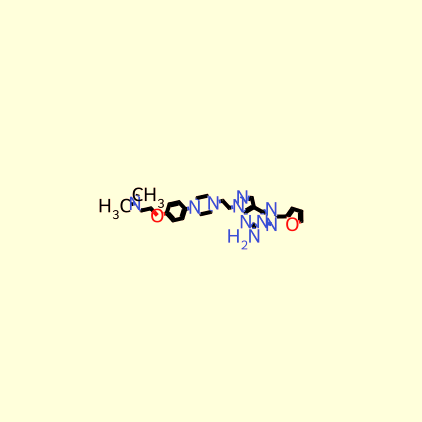 CN(C)CCOc1ccc(N2CCN(CCn3ncc4c3nc(N)n3nc(-c5ccco5)nc43)CC2)cc1